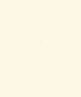 C=CC(=O)N(CC1(C)CO1)CC1(C)CO1